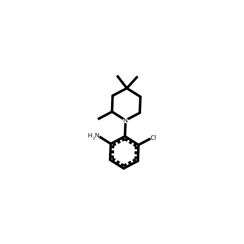 CC1CC(C)(C)CCN1c1c(N)cccc1Cl